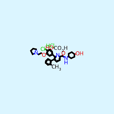 Cc1ccccc1-c1ccc(C(=O)NC2CCC(O)CC2)nc1-c1ccc(Cl)c(OCCN2CCCC2)c1.Cl.O=C(O)O